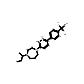 CCC(C)N1CCCN(c2ccc(-c3ccc(C(F)(F)F)cc3)nn2)CC1